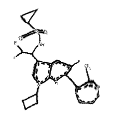 O=S(=O)(NC(c1cn(C2CCC2)c2nc(-c3cccnc3C(F)(F)F)c(F)cc12)C(F)F)C1CC1